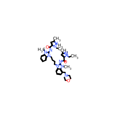 CCn1nc(C)cc1C(=O)/N=c1\n(C)c2ccccc2n1CCCCn1/c(=N/C(=O)c2cc(C)nn2CC)n(C)c2c(CN3CCOCC3)cccc21